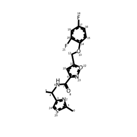 Cc1nc(C(C)NC(=O)c2cc(COc3ccc(F)cc3F)on2)cs1